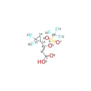 O=C(O)/C=C(\OS(=O)(=O)C(F)(F)F)C1CC1(F)F